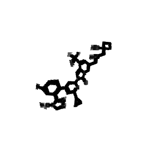 Cn1cnnc1-c1cc(F)ccc1-c1cc(C2CC2)nc(-n2cc3c(C(F)(F)F)cc(CNCC4(O)CCC4)cn3c2=O)c1